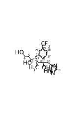 C[C@@H](SC(O)CCO)[C@@](O)(Cc1ncn[nH]1)c1ccc(C(F)(F)F)cc1